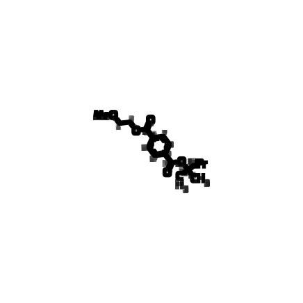 COCCOC(=O)c1ccc(C(=O)OC(C)(C)C(C)C)cc1